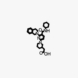 O=C(O)CC1CCCN(c2ccc(C(=O)NC3CCCCC3)c(N3CCc4ccccc4C3)n2)C1